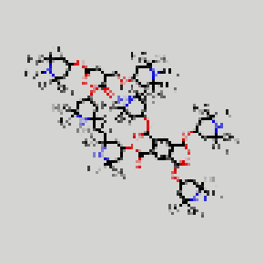 CN1C(C)(C)CC(OCC(CC(=O)OC2CC(C)(C)N(C)C(C)(C)C2)C(=O)OC2CC(C)(C)N(C)C(C)(CCC3(C)CC(OC(=O)c4cc(C(=O)OC5CC(C)(C)NC(C)(C)C5)c(C(=O)OC5CC(C)(C)NC(C)(C)C5)cc4C(=O)OC4CC(C)(C)NC(C)(C)C4)CC(C)(C)N3)C2)CC1(C)C